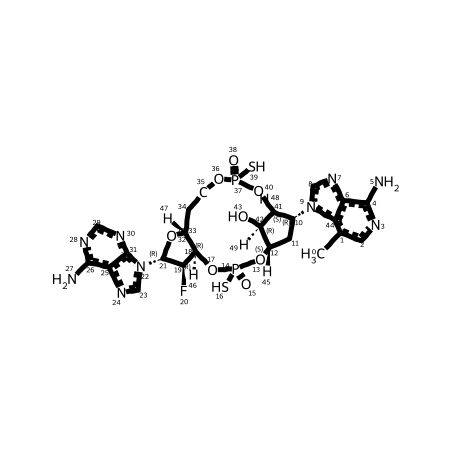 Cc1cnc(N)c2ncn([C@@H]3C[C@@H]4OP(=O)(S)O[C@H]5[C@@H](F)[C@H](n6cnc7c(N)ncnc76)O[C@@H]5CCOP(=O)(S)O[C@@H]3[C@@H]4O)c12